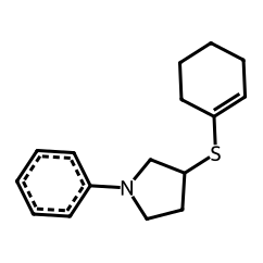 C1=C(SC2CCN(c3ccccc3)C2)CCCC1